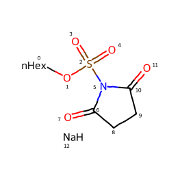 CCCCCCOS(=O)(=O)N1C(=O)CCC1=O.[NaH]